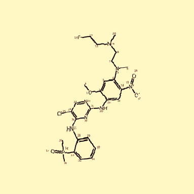 COc1cc(N(C)CCN(C)CCF)c([N+](=O)[O-])cc1Nc1ncc(Cl)c(Nc2ccccc2P(C)(C)=O)n1